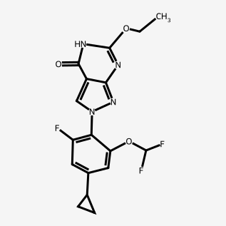 CCOc1nc2nn(-c3c(F)cc(C4CC4)cc3OC(F)F)cc2c(=O)[nH]1